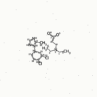 CCN(CC)CC=S(=O)=O.Cc1ncnn1-c1ccc(Cl)c(Cl)c1